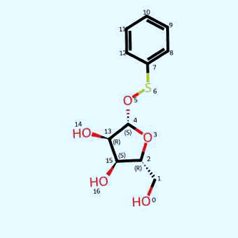 OC[C@H]1O[C@@H](OSc2ccccc2)[C@H](O)[C@@H]1O